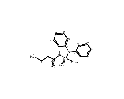 CC(=O)CCC(=O)NP(N)(=O)N(c1ccccc1)c1ccccc1